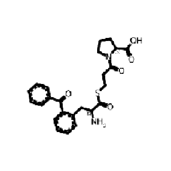 N[C@@H](Cc1ccccc1C(=O)c1ccccc1)C(=O)SCCC(=O)N1CCC[C@H]1C(=O)O